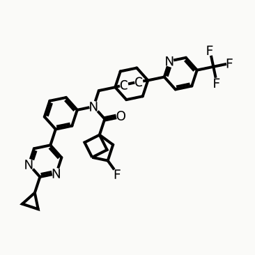 O=C(N(CC12CCC(c3ccc(C(F)(F)F)cn3)(CC1)CC2)c1cccc(-c2cnc(C3CC3)nc2)c1)C12CC(F)C(C1)C2